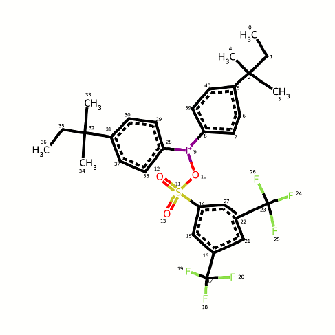 CCC(C)(C)c1ccc([I+](OS(=O)(=O)c2cc(C(F)(F)F)cc(C(F)(F)F)c2)c2ccc(C(C)(C)CC)cc2)cc1